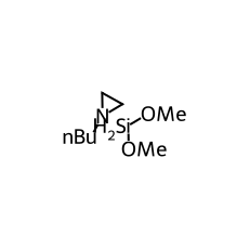 CCCCN1CC1.CO[SiH2]OC